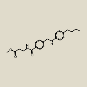 CCCCc1ccc(NCc2ccc(C(=O)NCCC(=O)OC)cc2)cc1